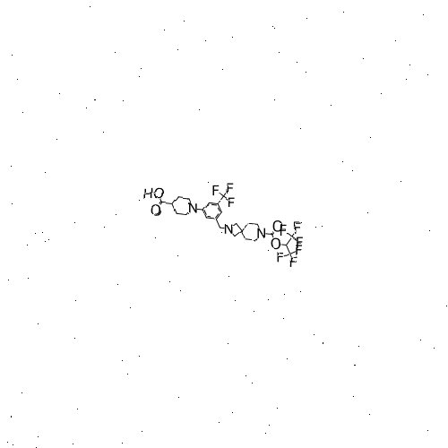 O=C(O)C1CCN(c2cc(CN3CC4(CCN(C(=O)OC(C(F)(F)F)C(F)(F)F)CC4)C3)cc(C(F)(F)F)c2)CC1